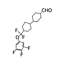 O=CC1CCC(C2CCC(C(F)(F)Oc3cc(F)c(F)c(F)c3)CC2)CC1